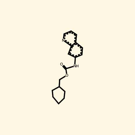 O=C(Nc1ccc2cccnc2c1)OCC1CCCCC1